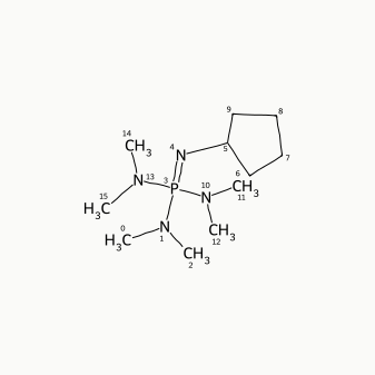 CN(C)P(=NC1CCCC1)(N(C)C)N(C)C